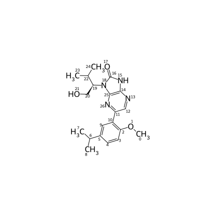 COc1ccc(C(C)C)cc1-c1cnc2[nH]c(=O)n([C@@H](CO)C(C)C)c2n1